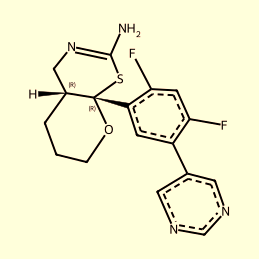 NC1=NC[C@H]2CCCO[C@@]2(c2cc(-c3cncnc3)c(F)cc2F)S1